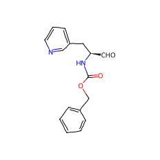 O=C[C@H](Cc1cccnc1)NC(=O)OCc1ccccc1